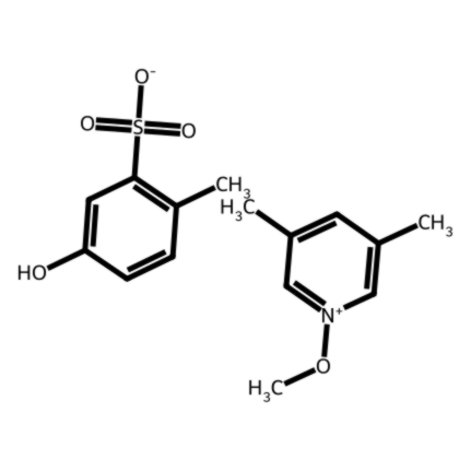 CO[n+]1cc(C)cc(C)c1.Cc1ccc(O)cc1S(=O)(=O)[O-]